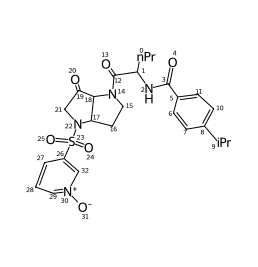 CCCC(NC(=O)c1ccc(C(C)C)cc1)C(=O)N1CCC2C1C(=O)CN2S(=O)(=O)c1ccc[n+]([O-])c1